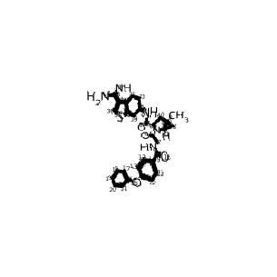 C[C@@]12C[C@@H]1N(C(=O)CNC(=O)c1ccc(Oc3ccccc3)cc1)[C@H](C(=O)NC1CCc3c(C(=N)N)csc3C1)C2